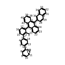 Cc1c(-c2ccc(-c3ccccn3)cc2)cccc1-c1c2ccccc2c(-c2ccc3ccccc3c2)c2ccccc12